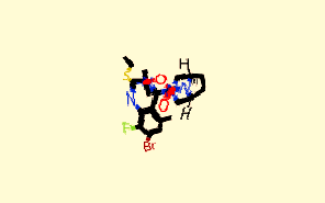 CCSc1nc(N2C[C@H]3CC[C@@H](C2)N3C(=O)OC(C)(C)C)c2c(C)cc(Br)c(F)c2n1